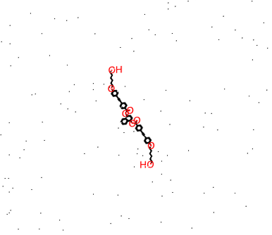 O=C(Oc1ccc(OC(=O)c2ccc(C#Cc3ccc(OCCCCCCO)cc3)cc2)c2ccccc12)c1ccc(C#Cc2ccc(OCCCCCCO)cc2)cc1